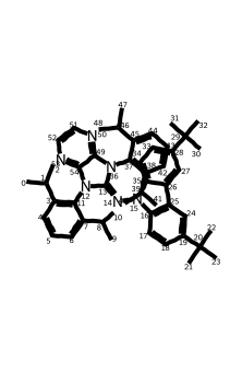 CC(C)c1cccc(C(C)C)c1-n1c(=Nn2c3ccc(C(C)(C)C)cc3c3cc(C(C)(C)C)ccc32)n(-c2c(C(C)C)cccc2C(C)C)c2nccnc21